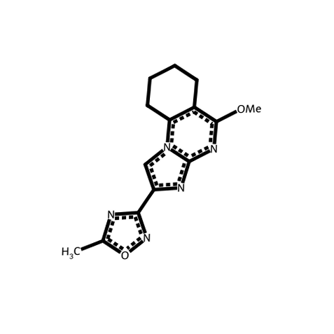 COc1nc2nc(-c3noc(C)n3)cn2c2c1CCCC2